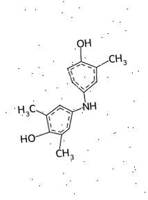 Cc1cc(Nc2cc(C)c(O)c(C)c2)ccc1O